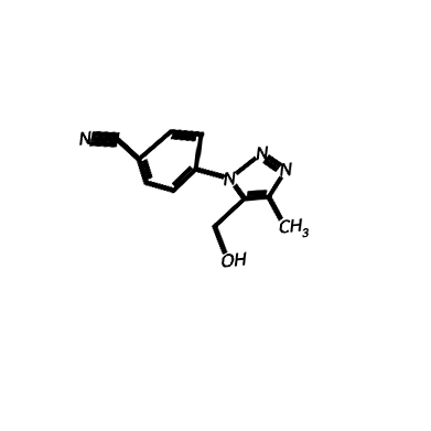 Cc1nnn(-c2ccc(C#N)cc2)c1CO